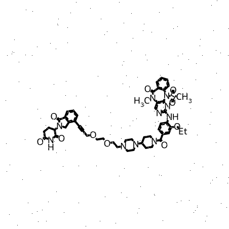 CCOc1cc(C(=O)N2CCC(N3CCN(CCOCCOCC#Cc4cccc5c4CN(C4CCC(=O)NC4=O)C5=O)CC3)CC2)ccc1Nc1ncc2c(n1)N(S(C)(=O)=O)c1ccccc1C(=O)N2C